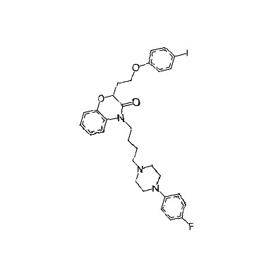 O=C1C(CCOc2ccc(I)cc2)Oc2ccccc2N1CCCCN1CCN(c2ccc(F)cc2)CC1